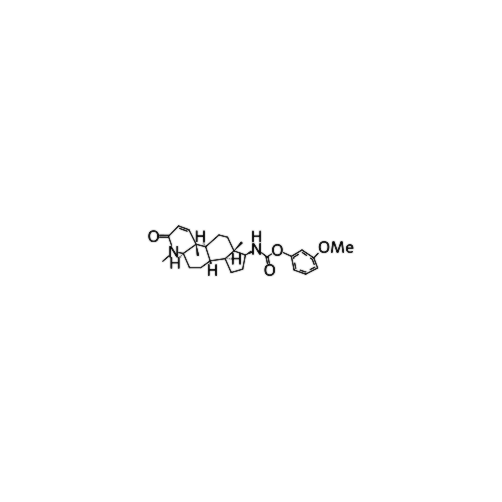 COc1cccc(OC(=O)N[C@H]2CC[C@H]3[C@@H]4CC[C@H]5N(C)C(=O)C=C[C@]5(C)[C@H]4CC[C@]23C)c1